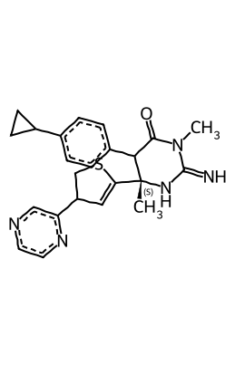 CN1C(=N)N[C@](C)(C2=CC(c3cnccn3)CS2)C(c2ccc(C3CC3)cc2)C1=O